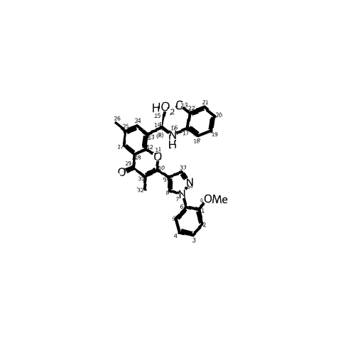 COc1ccccc1-n1cc(-c2oc3c([C@@H](C)Nc4ccccc4C(=O)O)cc(C)cc3c(=O)c2C)cn1